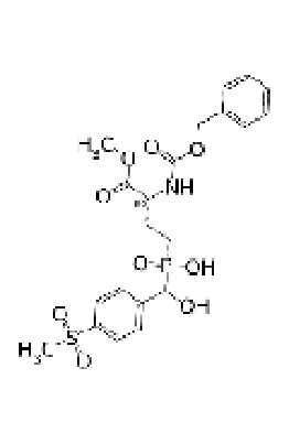 COC(=O)[C@@H](CCP(=O)(O)C(O)c1ccc(S(C)(=O)=O)cc1)NC(=O)OCc1ccccc1